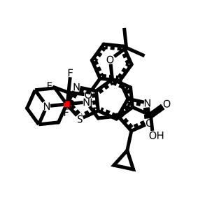 CC(C)Oc1cc(C(=O)O)cc2sc(N3C4CC(NCc5c(-c6ccccc6OC(F)(F)F)noc5C5CC5)CC3C4)nc12